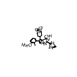 COc1cccc(-c2cn3nc(-c4nccn4C)nc(O)c3c2C2CCS(=O)(=O)CC2)c1C